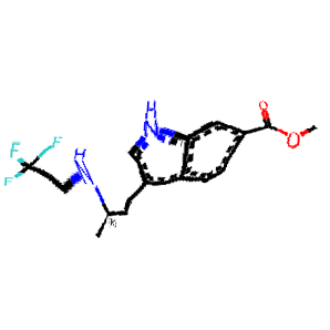 COC(=O)c1ccc2c(C[C@@H](C)NCC(F)(F)F)c[nH]c2c1